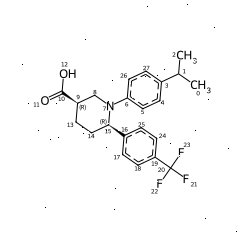 CC(C)c1ccc(N2C[C@H](C(=O)O)CC[C@@H]2c2ccc(C(F)(F)F)cc2)cc1